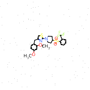 COc1ccc(Cc2csc(N3CCC(S(=O)(=O)c4ccccc4C(F)(F)F)CC3)n2)c(OC)c1